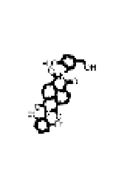 CCc1cccc(CC)c1N1C(=O)c2ccc3c4c(ccc(c24)C1=O)C(=O)N(c1cc(CO)ccc1C)C3=O